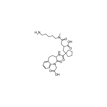 CN(CCCCCN)C(=O)CC(CC1(C(=O)NC2CCc3ccccc3N(CC(=O)O)C2=O)CCCC1)C(=O)O